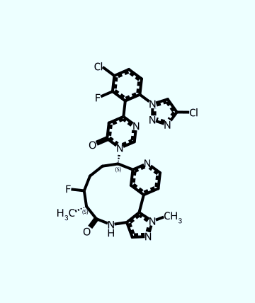 C[C@H]1C(=O)Nc2cnn(C)c2-c2ccnc(c2)[C@@H](n2cnc(-c3c(-n4cc(Cl)nn4)ccc(Cl)c3F)cc2=O)CCC1F